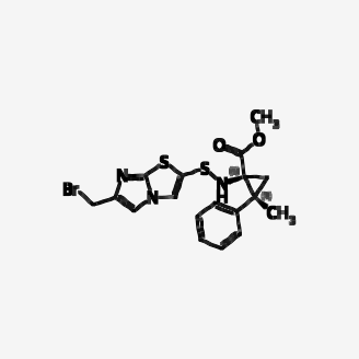 COC(=O)[C@]1(NSc2cn3cc(CBr)nc3s2)C[C@]1(C)c1ccccc1